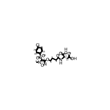 CN1ON=C(OCCCC(=O)N[C@@H](CC(=O)O)C(=O)O)C1S(=O)(=O)c1ccc(Cl)cc1